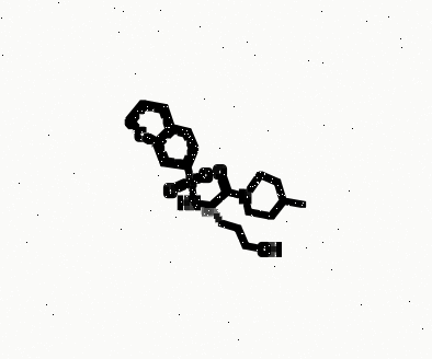 CC1CCN(C(=O)[C@H](CCCO)NS(=O)(=O)c2ccc3ccccc3c2)CC1